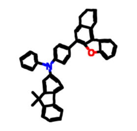 CC1(C)c2ccccc2-c2ccc(N(c3ccccc3)c3ccc(-c4cc5c(c6c4oc4ccccc46)C=CCC5)cc3)cc21